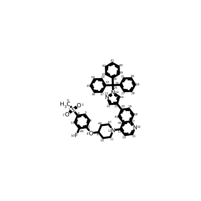 CS(=O)(=O)c1ccc(OC2CCN(c3ccnc4ccc(-c5cnn(C(c6ccccc6)(c6ccccc6)c6ccccc6)c5)cc34)CC2)c(F)c1